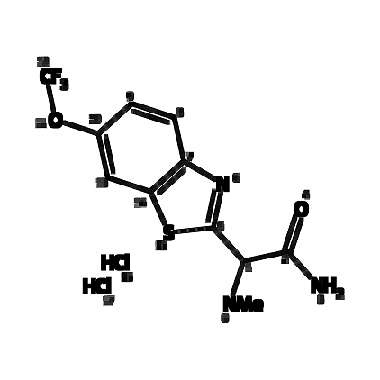 CNC(C(N)=O)c1nc2ccc(OC(F)(F)F)cc2s1.Cl.Cl